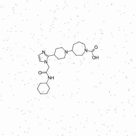 O=C(Cn1ccnc1C1CCN(C2CCCN(C(=O)O)CC2)CC1)NC1CCCCC1